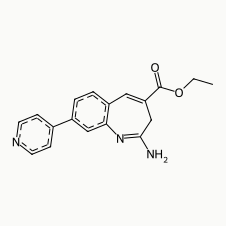 CCOC(=O)C1=Cc2ccc(-c3ccncc3)cc2N=C(N)C1